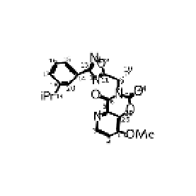 COc1ccnc2c(=O)n([C@@H](C)c3nc(-c4cccc(C(C)C)c4)no3)c(=O)oc12